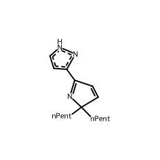 CCCCCC1(CCCCC)C=CC(c2cc[nH]n2)=N1